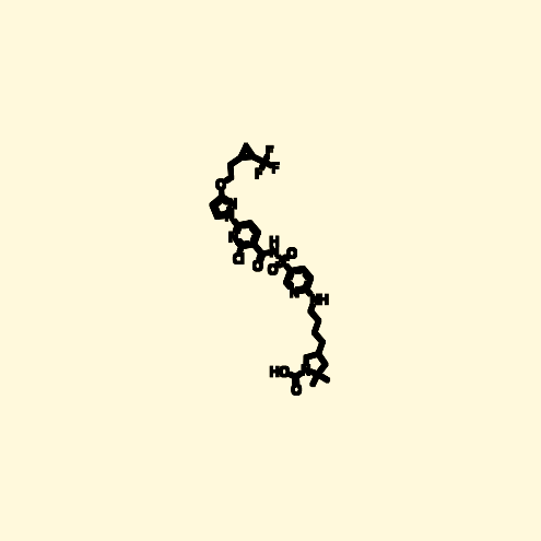 CC1(C)CC(CCCCNc2ccc(S(=O)(=O)NC(=O)c3ccc(-n4ccc(OCCC5CC5C(F)(F)F)n4)nc3Cl)cn2)CN1C(=O)O